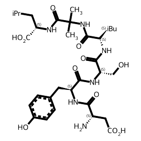 CC[C@H](C)[C@H](NC(=O)[C@H](CO)NC(=O)[C@H](Cc1ccc(O)cc1)NC(=O)[C@@H](N)CC(=O)O)C(=O)NC(C)(C)C(=O)N[C@@H](CC(C)C)C(=O)O